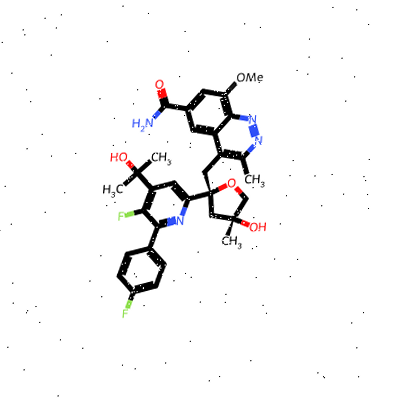 COc1cc(C(N)=O)cc2c(C[C@]3(c4cc(C(C)(C)O)c(F)c(-c5ccc(F)cc5)n4)C[C@@](C)(O)CO3)c(C)nnc12